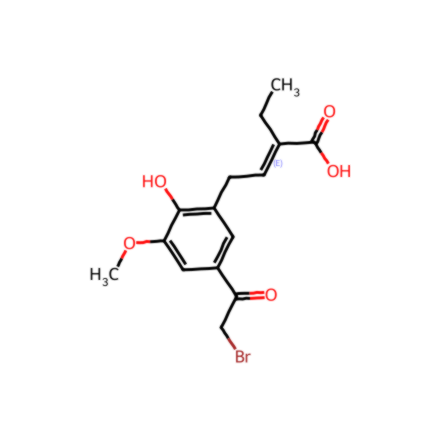 CC/C(=C\Cc1cc(C(=O)CBr)cc(OC)c1O)C(=O)O